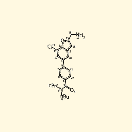 CCCCN(CCC)C(=O)c1ccc(-c2cc(Cl)c3oc(CN)cc3c2)cc1